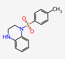 Cc1ccc(S(=O)(=O)N2CCNc3ccccc32)cc1